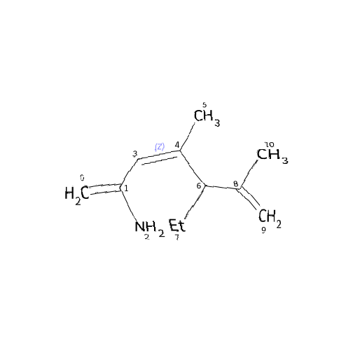 C=C(N)/C=C(/C)C(CC)C(=C)C